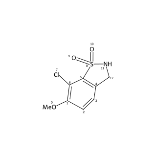 COc1ccc2c(c1Cl)S(=O)(=O)NC2